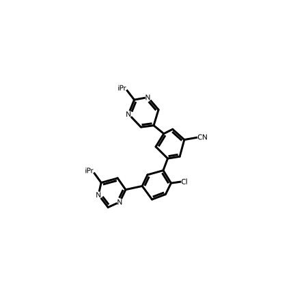 CC(C)c1cc(-c2ccc(Cl)c(-c3cc(C#N)cc(-c4cnc(C(C)C)nc4)c3)c2)ncn1